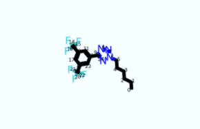 CCCCCCn1nnc(-c2cc(C(F)(F)F)cc(C(F)(F)F)c2)n1